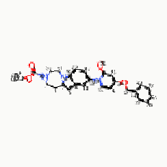 CC(C)(C)OC(=O)N1CCc2cc3cc(-n4ccc(OCc5ccccc5)cc4=O)ccc3n2CC1